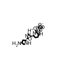 N[C@@H]1CN[C@@H](c2nnc([C@@H]3CC[C@@H]4CN3C(=O)N4OS(=O)(=O)[O-])o2)C1.[H+]